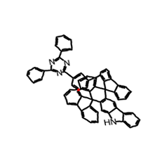 c1ccc(-c2nc(-c3ccccc3)nc(-c3cccc(-c4cccc5c4C4(c6ccccc6-5)c5ccccc5C5(c6ccccc6-c6ccccc65)c5cc6[nH]c7ccccc7c6cc54)c3)n2)cc1